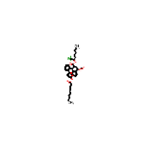 CCCCCCCCCC(=O)Oc1ccc(-c2ccccc2C2c3ccccc3C(OC=O)CC2C(=O)O[C@H](CCCCCC)C(F)(F)F)cc1